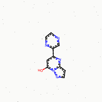 Oc1cc(-c2cnccn2)nc2ccnn12